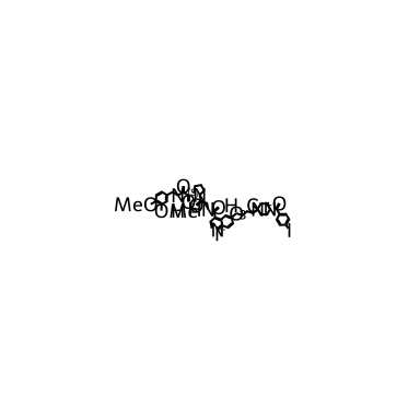 COc1ccc(CNC(=O)C(=O)[C@@H]2CCCN2C(=O)CNC(=O)c2ccnc3ccc(OCCC[N+]4(C)CCN(C(=O)c5ccc(I)cc5)CC4)cc23)cc1OC.[I-]